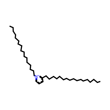 CCCCCCCCCCCCCCCCCc1ccc[n+](CCCCCCCCCCCCCCCCC)c1